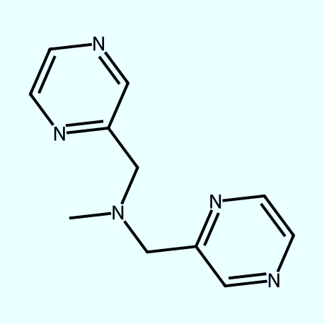 CN(Cc1cnccn1)Cc1cnccn1